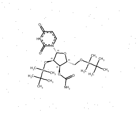 CC(C)(C)[Si](C)(C)OC[C@H]1O[C@@H](n2ccc(=O)[nH]c2=O)[C@H](O[Si](C)(C)C(C)(C)C)[C@@H]1OC(N)=O